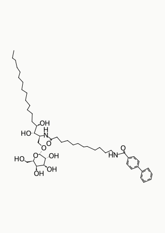 CCCCCCCCCCCCCC[C@@H](O)[C@@H](O)[C@H](CO[C@H]1O[C@H](CO)[C@H](O)[C@H](O)[C@H]1O)NC(=O)CCCCCCCCCCCNC(=O)c1ccc(-c2ccccc2)cc1